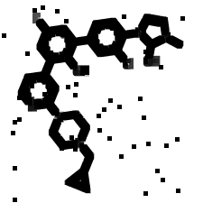 CN1C=CN(c2ccc(-c3cc(F)cc(-c4ccnc(N5CCN(CC6CC6)CC5)c4)c3O)cc2Cl)C1O